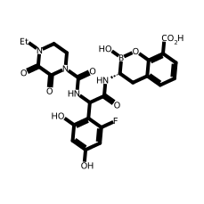 CCN1CCN(C(=O)NC(C(=O)N[C@H]2Cc3cccc(C(=O)O)c3OB2O)c2c(O)cc(O)cc2F)C(=O)C1=O